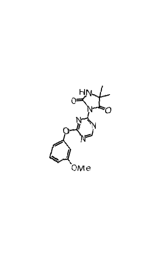 COc1cccc(Oc2ncnc(N3C(=O)NC(C)(C)C3=O)n2)c1